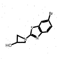 OC1CN(c2nc3ccc(Br)cc3s2)C1